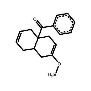 O=C(c1ccccc1)C12CC=CCC1CC(O[SiH3])=CC2